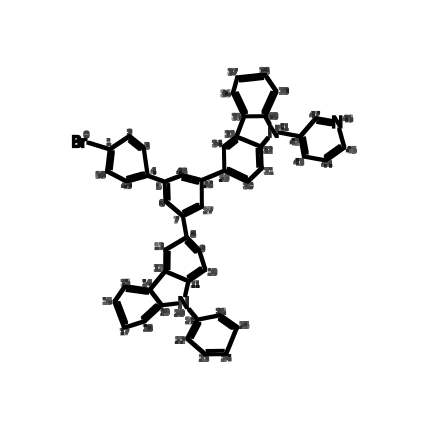 Brc1ccc(-c2cc(-c3ccc4c(c3)c3ccccc3n4-c3ccccc3)cc(-c3ccc4c(c3)c3ccccc3n4-c3cccnc3)c2)cc1